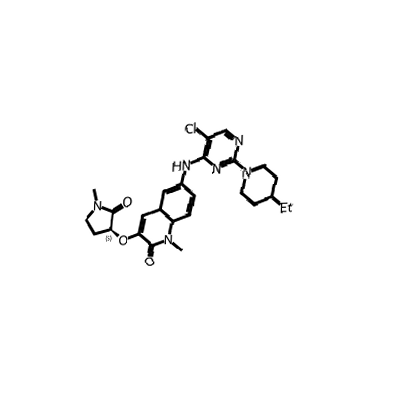 CCC1CCN(c2ncc(Cl)c(NC3=CC4C=C(O[C@H]5CCN(C)C5=O)C(=O)N(C)C4C=C3)n2)CC1